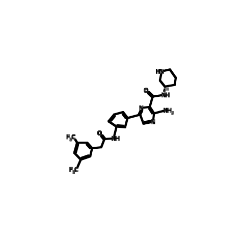 Nc1ncc(-c2cccc(NC(=O)Cc3cc(C(F)(F)F)cc(C(F)(F)F)c3)c2)nc1C(=O)N[C@H]1CCCNC1